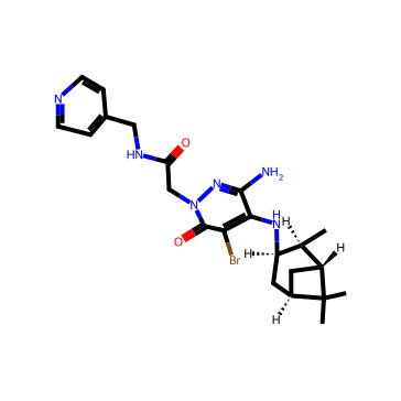 C[C@H]1[C@H]2C[C@H](C[C@H]1Nc1c(N)nn(CC(=O)NCc3ccncc3)c(=O)c1Br)C2(C)C